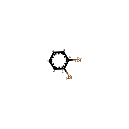 Brc1[c][c]ccc1Br